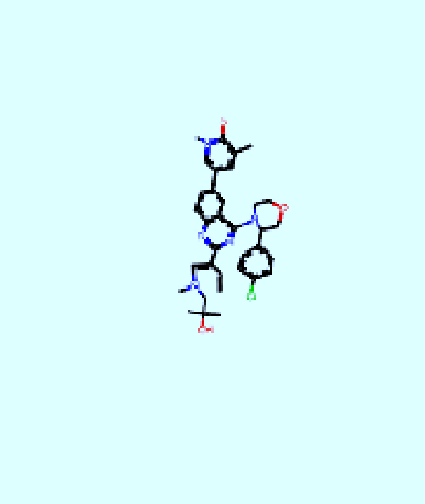 C=C/C(=C\N(C)CC(C)(C)O)c1nc(N2CCOCC2c2ccc(Cl)cc2)c2cc(-c3cc(C)c(=O)n(C)c3)ccc2n1